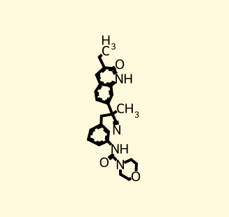 CCc1cc2ccc(C(C)(C#N)Cc3cccc(NC(=O)N4CCOCC4)c3)cc2[nH]c1=O